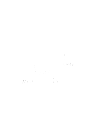 COC.COc1cc(C)ccc1C(C)C